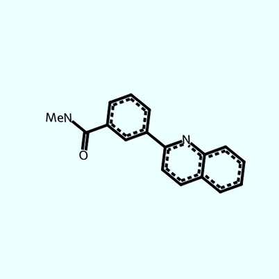 CNC(=O)c1cccc(-c2ccc3ccccc3n2)c1